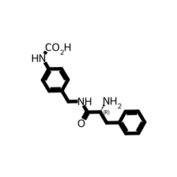 N[C@H](Cc1ccccc1)C(=O)NCc1ccc(NC(=O)O)cc1